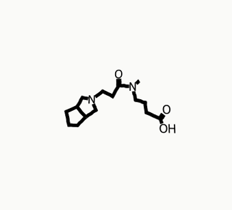 CN(CCCC(=O)O)C(=O)CCN1CC2CCCC2C1